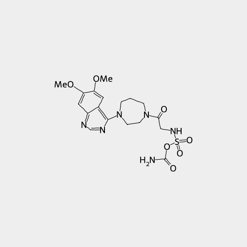 COc1cc2ncnc(N3CCCN(C(=O)CNS(=O)(=O)OC(N)=O)CC3)c2cc1OC